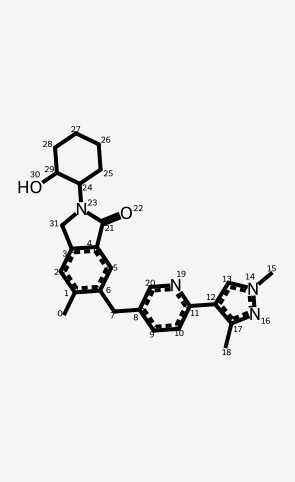 Cc1cc2c(cc1Cc1ccc(-c3cn(C)nc3C)nc1)C(=O)N(C1CCCCC1O)C2